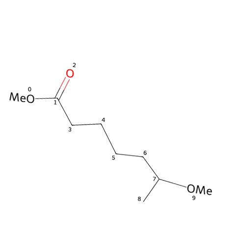 COC(=O)CCCCC(C)OC